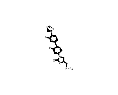 CC(=O)NCC1CN(c2ccc(-c3ccc(-n4cnnn4)c(F)c3)c(F)c2)C(=O)O1